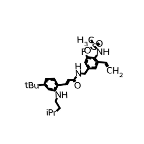 C=Cc1cc(CNC(=O)/C=C/c2ccc(C(C)(C)C)cc2NCCC(C)C)cc(F)c1NS(C)(=O)=O